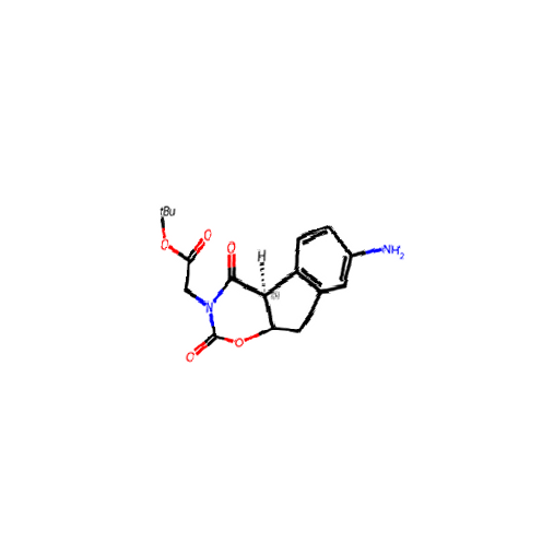 CC(C)(C)OC(=O)CN1C(=O)OC2Cc3cc(N)ccc3[C@@H]2C1=O